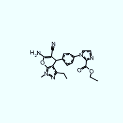 CCOC(=O)c1nccn1-c1ccc(C2C(C#N)=C(N)Oc3c2c(CC)nn3C)cc1